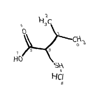 CC(C)C(S)C(=O)O.Cl